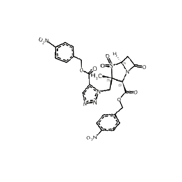 C[C@]1(Cn2nncc2C(=O)OCc2ccc([N+](=O)[O-])cc2)[C@H](C(=O)OCc2ccc([N+](=O)[O-])cc2)N2C(=O)C[C@@H]2S1(=O)=O